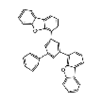 c1ccc(-c2cc(-c3cccc4c3oc3ccccc34)cc(-c3cccc4c3oc3ccccc34)c2)cc1